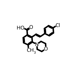 Cc1ccc(C(=O)O)c(C=Cc2ccc(Cl)cc2)c1N1CCOCC1